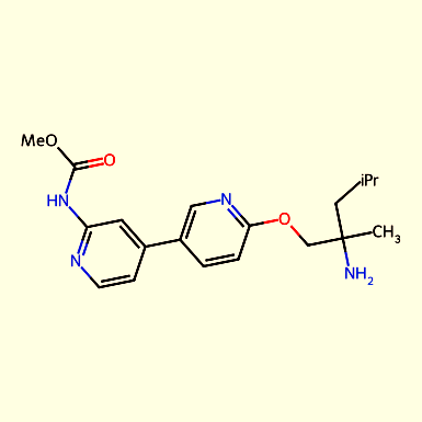 COC(=O)Nc1cc(-c2ccc(OCC(C)(N)CC(C)C)nc2)ccn1